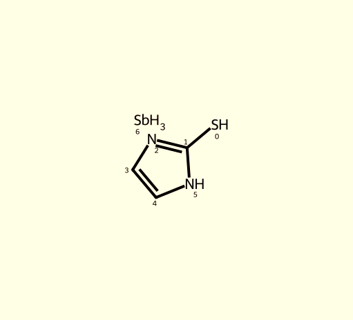 Sc1ncc[nH]1.[SbH3]